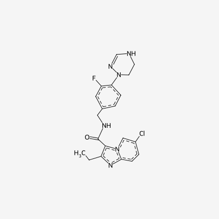 CCc1nc2ccc(Cl)cn2c1C(=O)NCc1ccc(N2CCNC=N2)c(F)c1